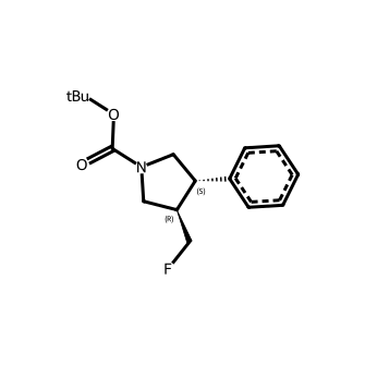 CC(C)(C)OC(=O)N1C[C@H](CF)[C@@H](c2ccccc2)C1